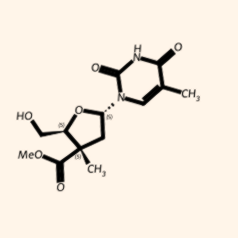 COC(=O)[C@@]1(C)C[C@@H](n2cc(C)c(=O)[nH]c2=O)O[C@@H]1CO